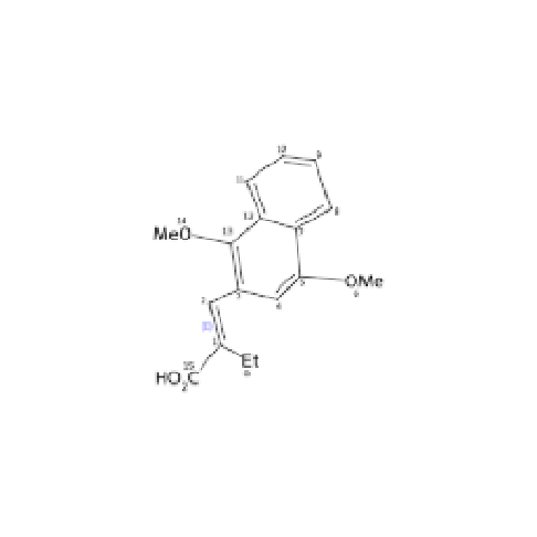 CC/C(=C\c1cc(OC)c2ccccc2c1OC)C(=O)O